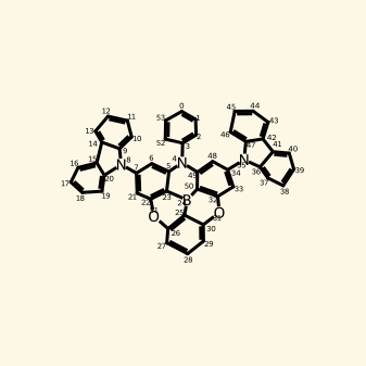 c1ccc(N2c3cc(-n4c5ccccc5c5ccccc54)cc4c3B3c5c(cccc5Oc5cc(-n6c7ccccc7c7ccccc76)cc2c53)O4)cc1